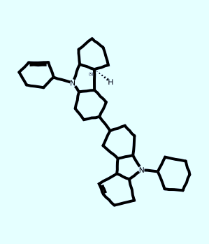 C1=CC(N2C3CCC(C4CCC5C(C4)C4C=CCCC4N5C4CCCCC4)CC3[C@@H]3CCCCC32)CCC1